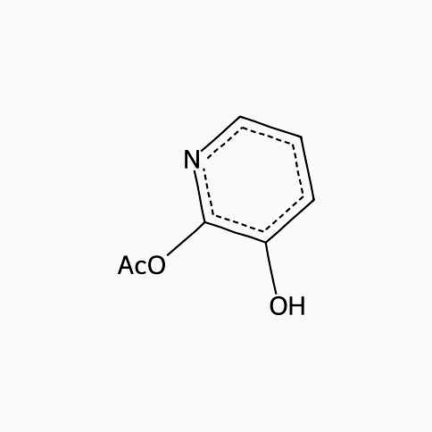 CC(=O)Oc1ncccc1O